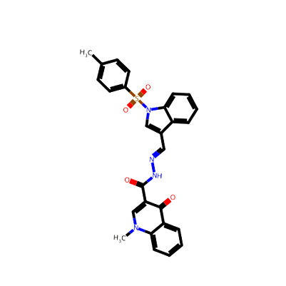 Cc1ccc(S(=O)(=O)n2cc(C=NNC(=O)c3cn(C)c4ccccc4c3=O)c3ccccc32)cc1